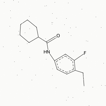 CCc1ccc(NC(=O)C2CCCCC2)cc1F